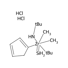 CC(C)(C)[NH][Zr]([CH3])([CH3])(=[SiH2])([C]1=CC=CC1)[C](C)(C)C.Cl.Cl